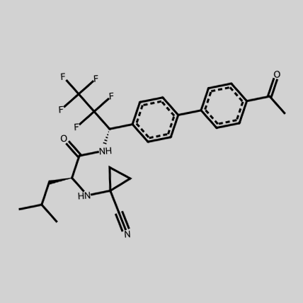 CC(=O)c1ccc(-c2ccc([C@H](NC(=O)[C@H](CC(C)C)NC3(C#N)CC3)C(F)(F)C(F)(F)F)cc2)cc1